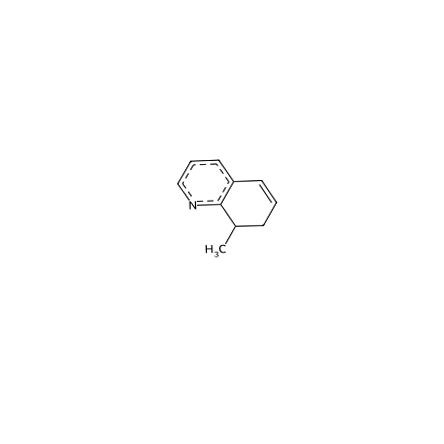 CC1CC=Cc2cccnc21